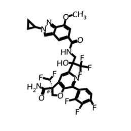 COc1cc(C(=O)NCC(O)(c2cc3c(c(-c4ccc(F)c(F)c4F)n2)OC[C@]3(C(N)=O)C(F)F)C(F)(F)F)cc2cn(C3CC3)nc12